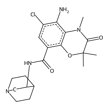 CN1C(=O)C(C)(C)Oc2c(C(=O)NC3CN4CCC3CC4)cc(Cl)c(N)c21